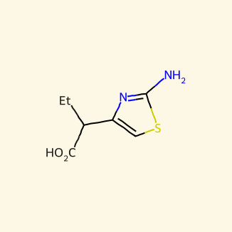 CCC(C(=O)O)c1csc(N)n1